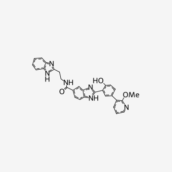 COc1ncccc1-c1ccc(O)c(-c2nc3cc(C(=O)NCCc4nc5ccccc5[nH]4)ccc3[nH]2)c1